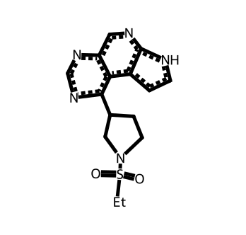 CCS(=O)(=O)N1CCC(c2ncnc3cnc4[nH]ccc4c23)C1